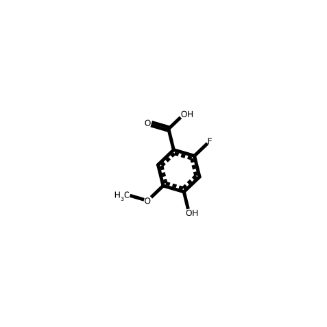 COc1cc(C(=O)O)c(F)cc1O